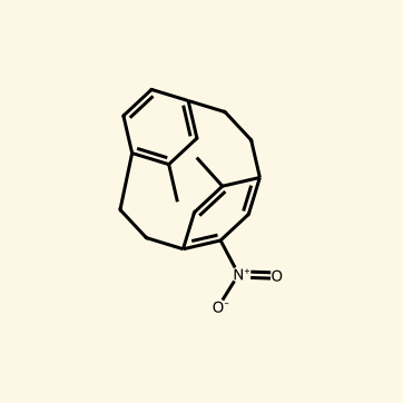 Cc1cc2c([N+](=O)[O-])cc1CCc1ccc(c(C)c1)CC2